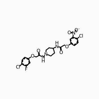 O=C(COc1ccc(Cl)c([N+](=O)[O-])c1)NC1CCN(NC(=O)COc2ccc(Cl)c(F)c2)CC1